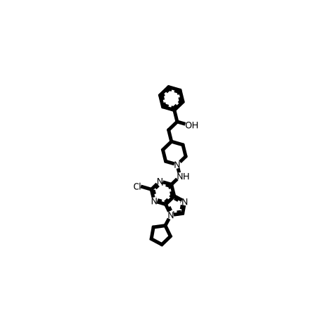 OC(CC1CCN(Nc2nc(Cl)nc3c2ncn3C2CCCC2)CC1)c1ccccc1